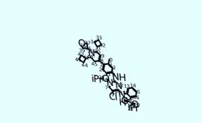 Cc1cc(Nc2ncc(Cl)c(Nc3ccccc3S(=O)(=O)C(C)C)n2)c(OC(C)C)cc1C1=C[C@@H](C2CCC2)N(C2COC2)[C@H](C2CCC2)C1